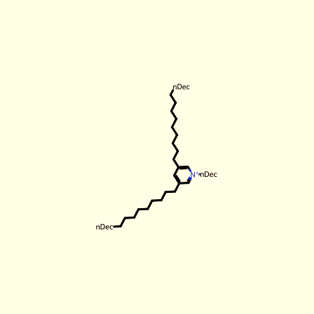 CCCCCCCCCCCCCCCCCCCc1cc(CCCCCCCCCCCCCCCCCCC)c[n+](CCCCCCCCCC)c1